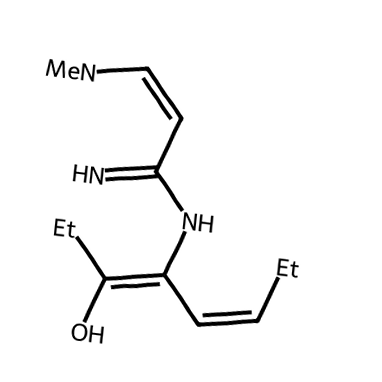 CC/C=C\C(NC(=N)/C=C\NC)=C(O)CC